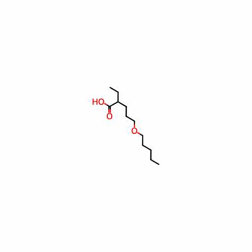 CCCCCOCCCC(CC)C(=O)O